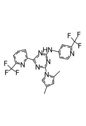 Cc1cc(C)n(-c2nc(Nc3ccnc(C(F)(F)F)c3)nc(-c3cccc(C(F)(F)F)n3)n2)c1